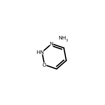 C1=CONN=C1.N